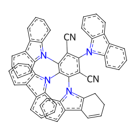 N#Cc1c(-n2c3c(c4ccccc42)C=CCC3)c(-n2c3ccccc3c3ccccc32)c(-n2c3ccccc3c3ccccc32)c(C#N)c1-n1c2ccccc2c2ccccc21